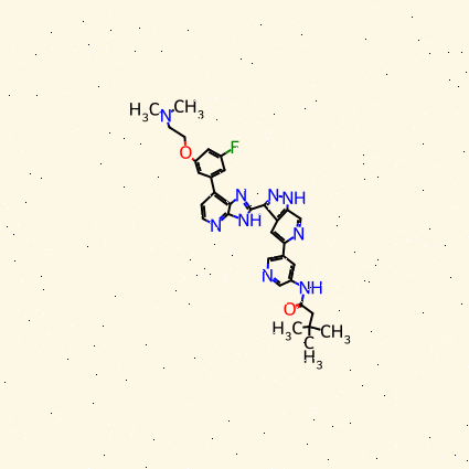 CN(C)CCOc1cc(F)cc(-c2ccnc3[nH]c(-c4n[nH]c5cnc(-c6cncc(NC(=O)CC(C)(C)C)c6)cc45)nc23)c1